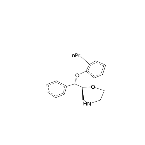 CCCc1ccccc1O[C@@H](c1ccccc1)[C@@H]1CNCCO1